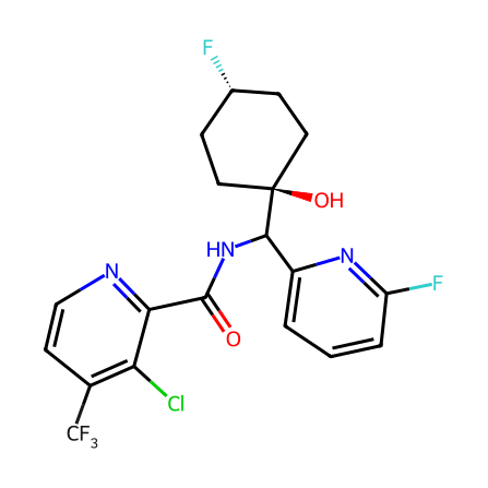 O=C(NC(c1cccc(F)n1)[C@]1(O)CC[C@H](F)CC1)c1nccc(C(F)(F)F)c1Cl